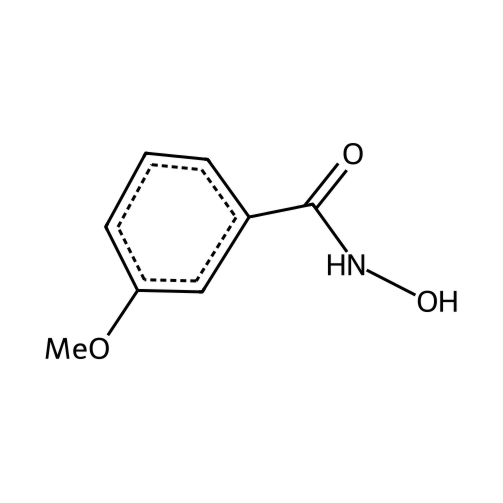 COc1cccc(C(=O)NO)c1